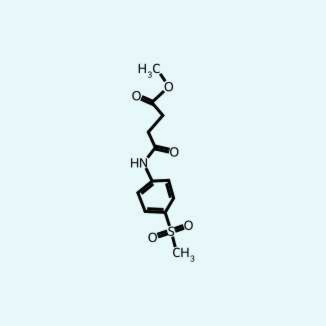 COC(=O)CCC(=O)Nc1ccc(S(C)(=O)=O)cc1